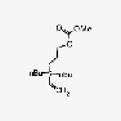 C=CS(CCCC)(CCCC)CCCOC(=O)OC